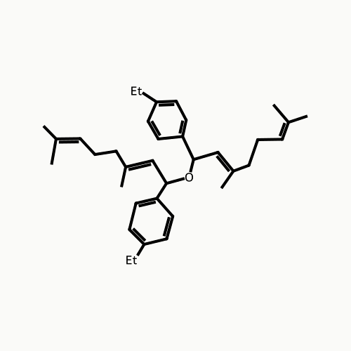 CCc1ccc(C(/C=C(\C)CCC=C(C)C)OC(/C=C(\C)CCC=C(C)C)c2ccc(CC)cc2)cc1